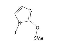 CSOc1nccn1I